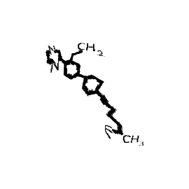 C=CCc1cc(-c2ccc(C#CCCCC(C)F)cc2)ccc1-c1cnccn1